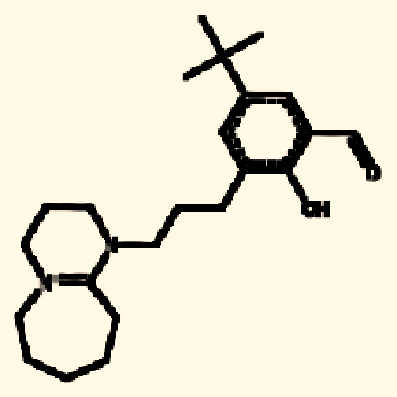 CC(C)(C)c1cc(C=O)c(O)c(CCCN2CCC[N+]3=C2CCCCC3)c1